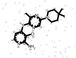 Cc1nc(N2CCC(C)(C)CC2)cnc1Sc1ccnc(N)c1Cl